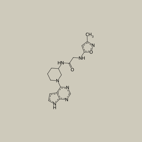 Cc1cc(NCC(=O)NC2CCCN(c3ncnc4[nH]ccc34)C2)on1